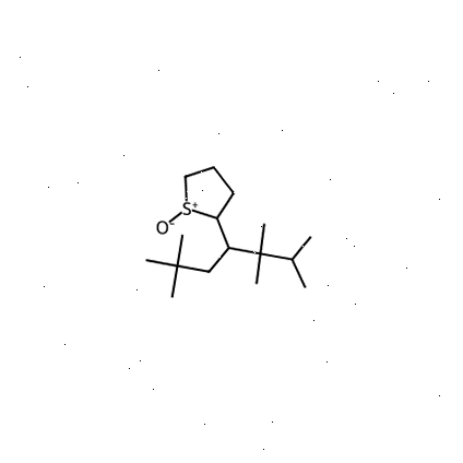 CC(C)C(C)(C)C(CC(C)(C)C)C1CCC[S+]1[O-]